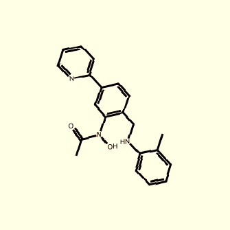 CC(=O)N(O)c1cc(-c2ccccn2)ccc1CNc1ccccc1C